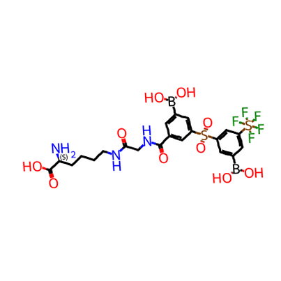 N[C@@H](CCCCNC(=O)CNC(=O)c1cc(B(O)O)cc(S(=O)(=O)c2cc(B(O)O)cc(S(F)(F)(F)(F)F)c2)c1)C(=O)O